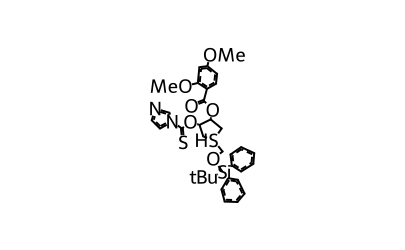 COc1ccc(C(=O)O[C@H]2C[SH](CO[Si](c3ccccc3)(c3ccccc3)C(C)(C)C)C[C@H]2OC(=S)n2ccnc2)c(OC)c1